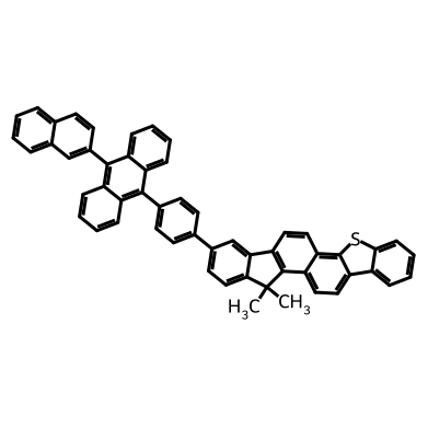 CC1(C)c2ccc(-c3ccc(-c4c5ccccc5c(-c5ccc6ccccc6c5)c5ccccc45)cc3)cc2-c2ccc3c(ccc4c5ccccc5sc34)c21